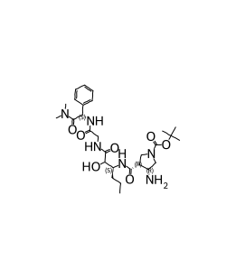 CCC[C@H](NC(=O)[C@@H]1CN(C(=O)OC(C)(C)C)C[C@@H]1N)C(O)C(=O)NCC(=O)N[C@H](C(=O)N(C)C)c1ccccc1